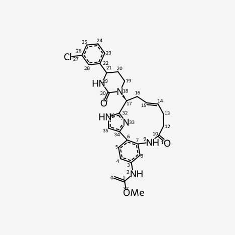 C=C(Nc1ccc2c(c1)NC(=O)CC/C=C/C[C@H](N1CCC(c3cccc(Cl)c3)NC1=O)c1nc-2c[nH]1)OC